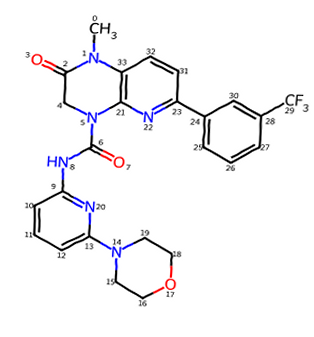 CN1C(=O)CN(C(=O)Nc2cccc(N3CCOCC3)n2)c2nc(-c3cccc(C(F)(F)F)c3)ccc21